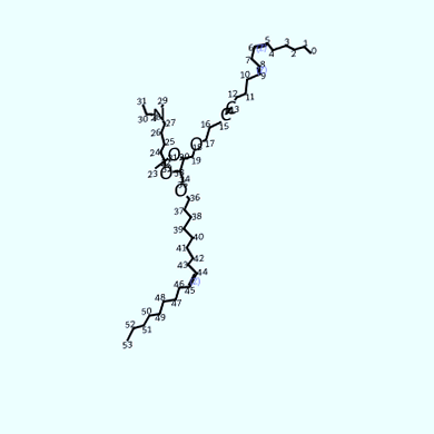 CCCCC/C=C\C/C=C\CCCCCCCCOCC1OC(C)(CCCCN(C)CC)OC1COCCCCCCCC/C=C\CCCCCCCC